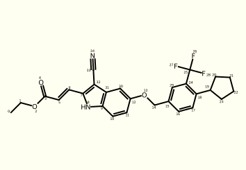 CCOC(=O)/C=C/c1[nH]c2ccc(OCc3ccc(C4CCCC4)c(C(F)(F)F)c3)cc2c1C#N